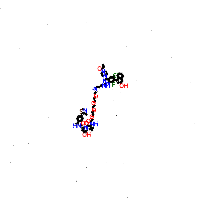 C=CC(=O)N1CCN(c2nc(NCCCN(C)CCOCCOCCOCCOCC(=O)N[C@H](C(=O)N3C[C@H](O)C[C@H]3C(=O)N[C@@H](C)c3ccc(-c4scnc4C)cc3)C(C)(C)C)nc3c(F)c(-c4cc(O)cc5ccccc45)c(Cl)cc23)CC1